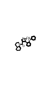 Cn1ncc(C(=O)N2CCCC3CCCC=C32)c1-c1ccccc1Oc1ccccc1